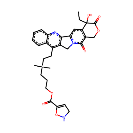 CCC1(O)C(=O)OCc2c1cc1n(c2=O)Cc2c-1nc1ccccc1c2CC[Si](C)(C)CCCOC(=O)C1=CCNO1